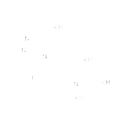 Cc1nnc(I)n1CCN(C)C(C)C